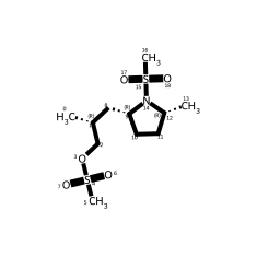 C[C@@H](COS(C)(=O)=O)C[C@H]1CC[C@@H](C)N1S(C)(=O)=O